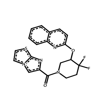 O=C(c1cn2ccsc2n1)N1CCC(F)(F)C(Oc2ccc3ccccc3n2)C1